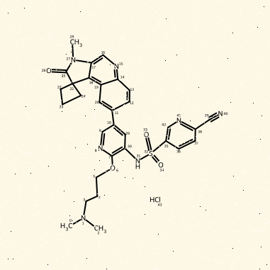 CN(C)CCCOc1ncc(-c2ccc3ncc4c(c3c2)C2(CCC2)C(=O)N4C)cc1NS(=O)(=O)c1ccc(C#N)nc1.Cl